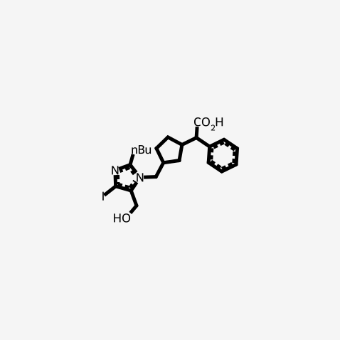 CCCCc1nc(I)c(CO)n1CC1CCC(C(C(=O)O)c2ccccc2)C1